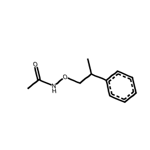 CC(=O)NOCC(C)c1ccccc1